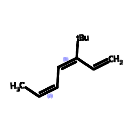 C=C/C(=C\C=C/C)C(C)(C)C